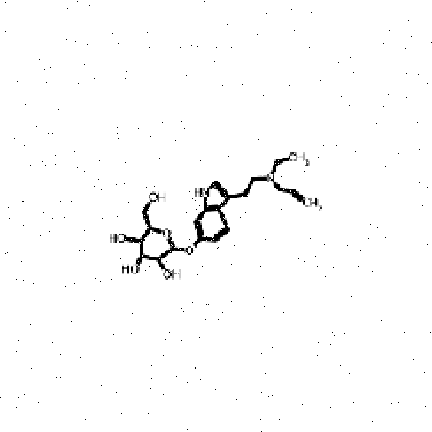 C=CCN(CC)CCc1c[nH]c2cc(OC3OC(CO)C(O)C(O)C3O)ccc12